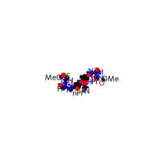 CCCc1ncc(C2Oc3cc(-c4cnc([C@@H]5CCCN5C(=O)[C@@H](NC(=O)OC)C(C)C)[nH]4)cc(C)c3-c3cc4cc(-c5cnc([C@@H]6C[C@H]7CC7N6C(=O)[C@H](NC(=O)OC)C(C)(C)F)[nH]5)ccc4n32)s1